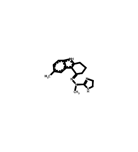 Cc1ccc2[nH]c3c(c2c1)C(=NN(C)C1=NCCN1)CCC3